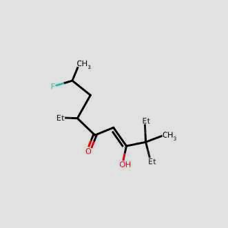 CCC(CC(C)F)C(=O)/C=C(\O)C(C)(CC)CC